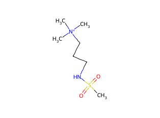 C[N+](C)(C)CCCNS(C)(=O)=O